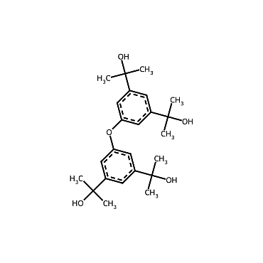 CC(C)(O)c1cc(Oc2cc(C(C)(C)O)cc(C(C)(C)O)c2)cc(C(C)(C)O)c1